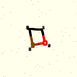 [CH]1COS1